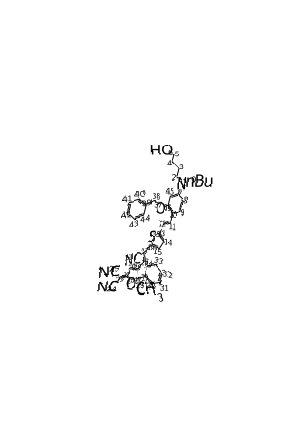 CCCCN(CCCCO)c1ccc(/C=C/c2ccc(/C=C/C3=C(C#N)C(=C(C#N)C#N)OC3(C)c3ccccc3)s2)c(OCc2ccccc2)c1